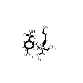 CC[Si](C#CCCO)(CC)CC.Cc1ccc(S(=O)(=O)O)cc1